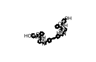 O=C(N[C@@H](C(=O)N1CCC[C@H]1c1ncc(-c2ccc(C#Cc3ccc(-c4cnc([C@@H]5CCCN5C(=O)[C@H](NC(=O)N5CCC(O)CC5)c5ccccc5)[nH]4)cc3)cc2)[nH]1)c1ccccc1)N1CCC(O)CC1